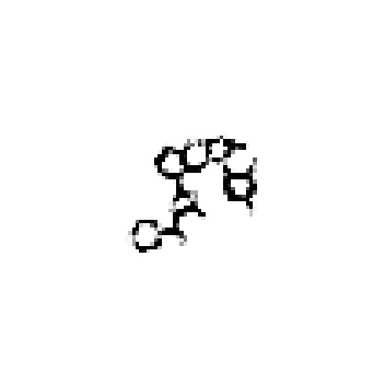 CC1=NCN(Cc2c(C#N)cccc2-c2nc(C)c(C(=O)N3CCOCC3)s2)N1c1ccc(F)cc1F